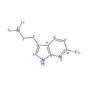 CN(C)CCc1c[nH]c2nc(F)ccc12